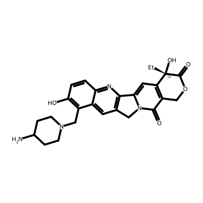 CC[C@@]1(O)C(=O)OCc2c1cc1n(c2=O)Cc2cc3c(CN4CCC(N)CC4)c(O)ccc3nc2-1